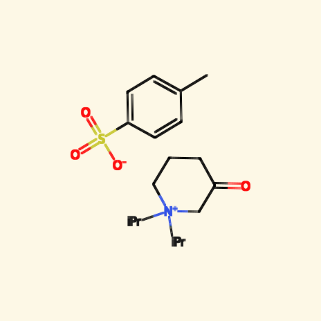 CC(C)[N+]1(C(C)C)CCCC(=O)C1.Cc1ccc(S(=O)(=O)[O-])cc1